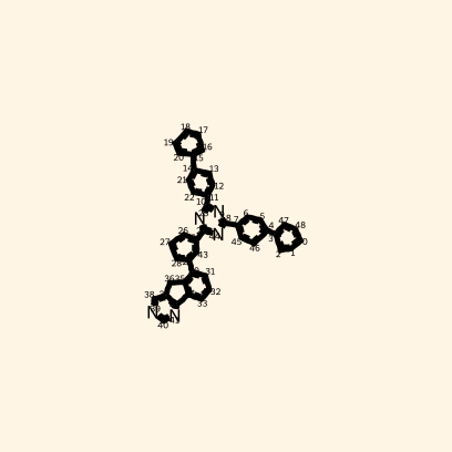 c1ccc(-c2ccc(-c3nc(-c4ccc(-c5ccccc5)cc4)nc(-c4cccc(-c5cccc6c5Cc5cncnc5-6)c4)n3)cc2)cc1